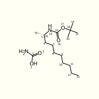 NC(=O)O.[CH2][C@@H](CCCCCCCC)NC(=O)OC(C)(C)C